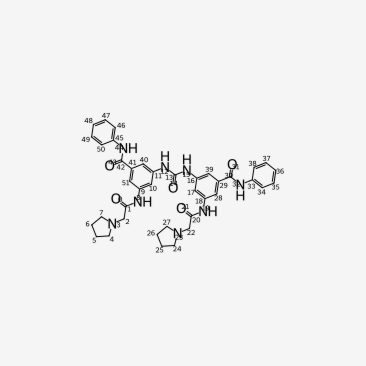 O=C(CN1CCCC1)Nc1cc(NC(=O)Nc2cc(NC(=O)CN3CCCC3)cc(C(=O)Nc3ccccc3)c2)cc(C(=O)Nc2ccccc2)c1